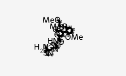 COCCOc1c(-c2c(OC)cccc2OC)cc(C(=O)Nc2nnc(-c3ncsc3N)s2)oc1=O